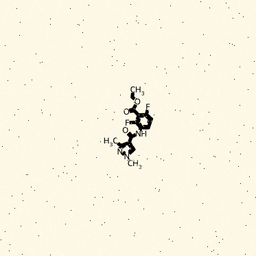 CCOC(=O)c1c(F)ccc(NC(=O)c2cn(C)nc2C)c1F